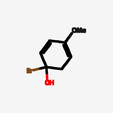 COC1=CCC(O)(Br)C=C1